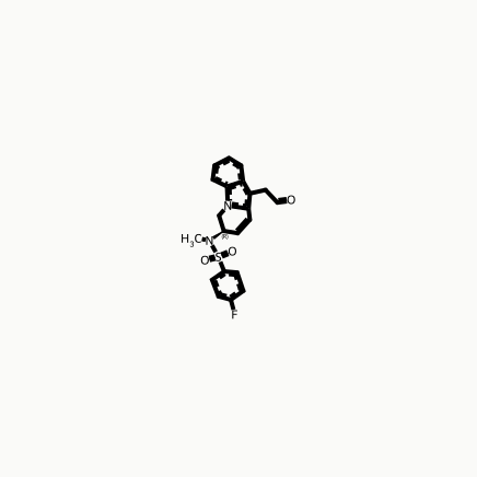 CN([C@@H]1C=Cc2c(CC=O)c3ccccc3n2C1)S(=O)(=O)c1ccc(F)cc1